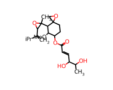 C=C(C(C)C)C1OC1(C)C1C(OC)C(OC(=O)C=CC(O)C(C)O)CCC12CO2